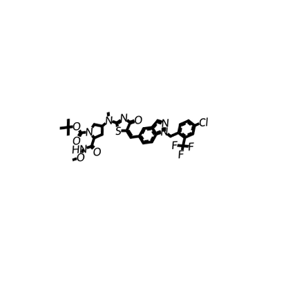 CONC(=O)C1CC(N(C)C2=NC(=O)C(=Cc3ccc4c(cnn4Cc4ccc(Cl)cc4C(F)(F)F)c3)S2)CN1C(=O)OC(C)(C)C